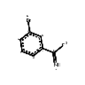 N=C(F)c1cccc(Br)c1